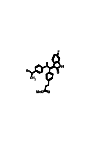 COC(=O)CCc1ccc(C(Nc2ccc(N(C)C(C)=O)cc2)=C2C(=O)Nc3cc(F)ccc32)cc1